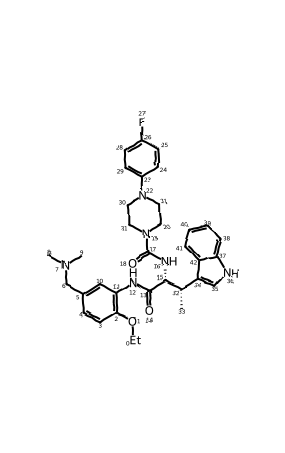 CCOc1ccc(CN(C)C)cc1NC(=O)[C@H](NC(=O)N1CCN(c2ccc(F)cc2)CC1)[C@@H](C)c1c[nH]c2ccccc12